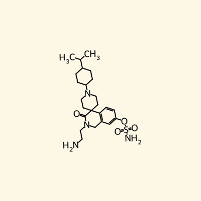 CC(C)C1CCC(N2CCC3(CC2)C(=O)N(CCN)Cc2cc(OS(N)(=O)=O)ccc23)CC1